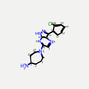 NC1CCCN(c2cnc3c(-c4ccccc4Cl)n[nH]c3n2)CC1